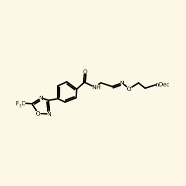 CCCCCCCCCCCCON=CCNC(=O)c1ccc(-c2noc(C(F)(F)F)n2)cc1